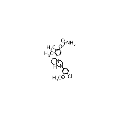 COc1cc(N2CCN3[C@@H](CCC[C@@H]3c3ccc(OCC(N)=O)c(C)c3C)C2)ccc1Cl